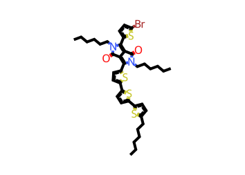 CCCCCCc1ccc(-c2ccc(-c3ccc(C4=C5C(=O)N(CCCCCC)C(c6ccc(Br)s6)=C5C(=O)N4CCCCCC)s3)s2)s1